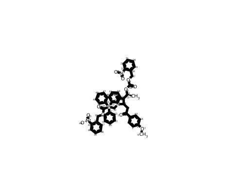 COc1ccc(C(=O)CC2C([C@H](C)OC(=O)OCc3ccccc3[N+](=O)[O-])C(=O)N2CP(C(=O)OCc2ccccc2[N+](=O)[O-])(c2ccccc2)(c2ccccc2)c2ccccc2)cc1